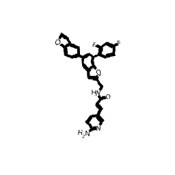 Nc1ccc(C=CC(=O)NCc2cc3cc(-c4ccc5occc5c4)cc(-c4ccc(F)cc4F)c3o2)cn1